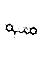 O=C(O)/C(=C\c1ccccc1)CSC(=O)c1ccccc1